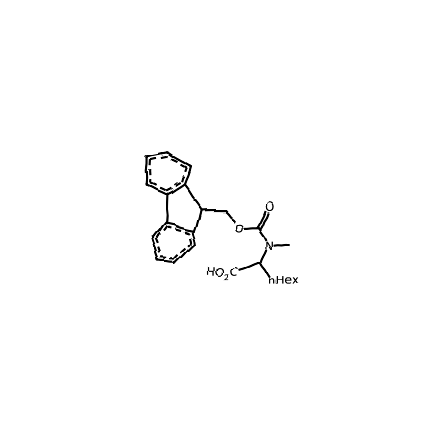 CCCCCCC(C(=O)O)N(C)C(=O)OCC1c2ccccc2-c2ccccc21